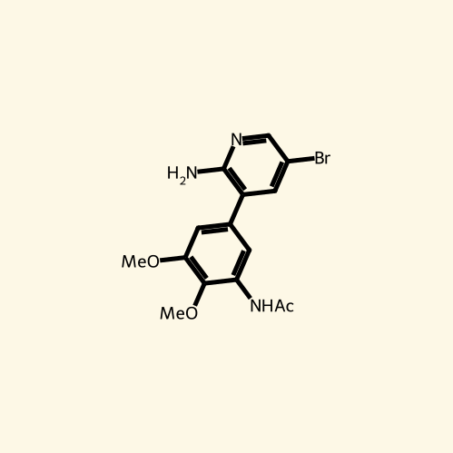 COc1cc(-c2cc(Br)cnc2N)cc(NC(C)=O)c1OC